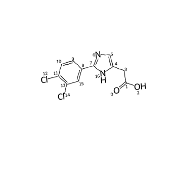 O=C(O)Cc1cnc(-c2ccc(Cl)c(Cl)c2)[nH]1